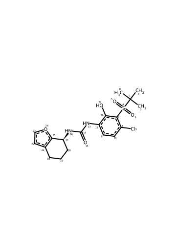 CC(C)(C)S(=O)(=O)c1c(Cl)ccc(NC(=O)N[C@H]2CCCc3ccoc32)c1O